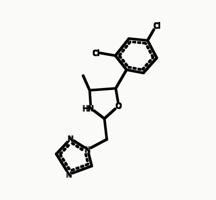 CC1NC(Cn2cncn2)OC1c1ccc(Cl)cc1Cl